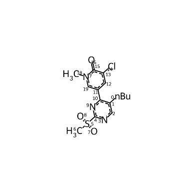 CCCCc1cnc(S(C)(=O)=O)nc1-c1cc(Cl)c(=O)n(C)c1